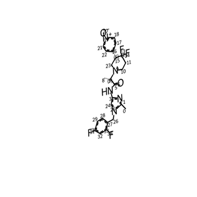 Cc1nc(NC(=O)[C@H](C)N2CCC(F)(F)[C@@H](c3cc[n+]([O-])cc3)C2)cn1Cc1ccc(F)cc1F